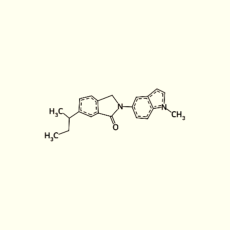 CCC(C)c1ccc2c(c1)C(=O)N(c1ccc3c(ccn3C)c1)C2